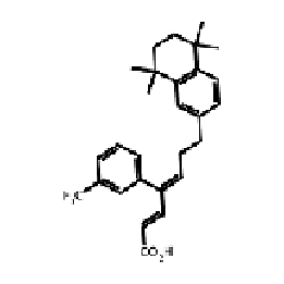 CC1(C)CCC(C)(C)c2cc(CC/C=C(/C=CC(=O)O)c3cccc(C(F)(F)F)c3)ccc21